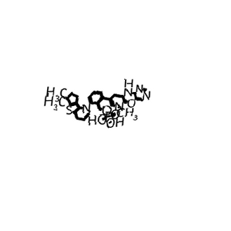 Cn1cc(-c2cccc(N3CCCc4sc5c(c43)CCC5(C)C)c2COP(=O)(O)O)cc(Nc2ccncn2)c1=O